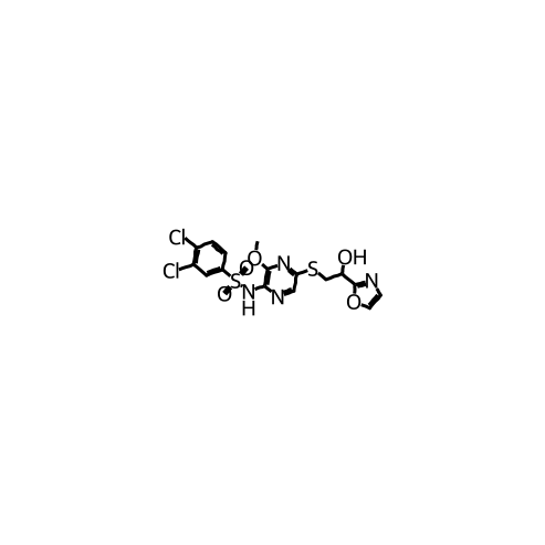 COc1nc(SCC(O)c2ncco2)cnc1NS(=O)(=O)c1ccc(Cl)c(Cl)c1